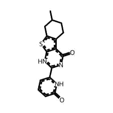 CC1CCc2c(sc3[nH]c(-c4cccc(=O)[nH]4)nc(=O)c23)C1